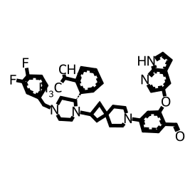 CC(C)c1ccccc1[C@H]1CN(Cc2ccc(F)c(F)c2)CCN1C1CC2(CCN(c3ccc(C=O)c(Oc4cnc5[nH]ccc5c4)c3)CC2)C1